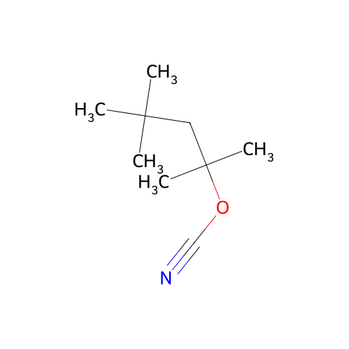 CC(C)(C)CC(C)(C)OC#N